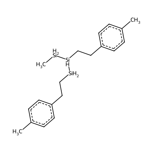 C[SiH2][SiH](CCc1ccc(C)cc1)[SiH2]CCc1ccc(C)cc1